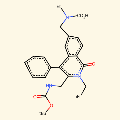 CCN(Cc1ccc2c(=O)n(CC(C)C)c(CNC(=O)OC(C)(C)C)c(-c3ccccc3)c2c1)C(=O)O